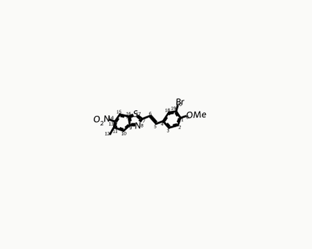 COc1ccc(C=Cc2nc3cc(C)c([N+](=O)[O-])cc3s2)cc1Br